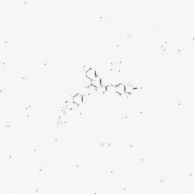 CCN(CC)CCNS(=O)(=O)c1ccc(N=Nc2c(O)c(C(=O)Nc3ccc4[nH]c(=O)[nH]c4c3)cc3ccccc23)cc1